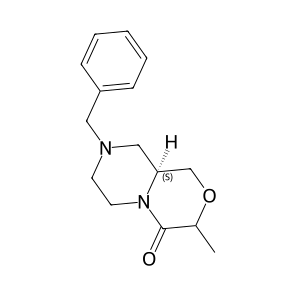 CC1OC[C@@H]2CN(Cc3ccccc3)CCN2C1=O